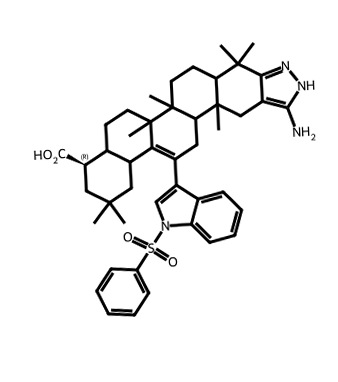 CC1(C)CC2C3=C(c4cn(S(=O)(=O)c5ccccc5)c5ccccc45)CC4C5(C)Cc6c(n[nH]c6N)C(C)(C)C5CCC4(C)C3(C)CCC2[C@H](C(=O)O)C1